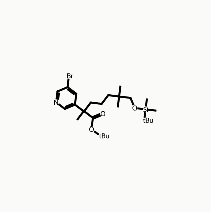 CC(C)(CCCC(C)(C(=O)OC(C)(C)C)c1cncc(Br)c1)CO[Si](C)(C)C(C)(C)C